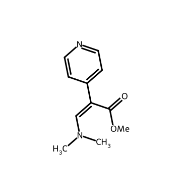 COC(=O)C(=CN(C)C)c1ccncc1